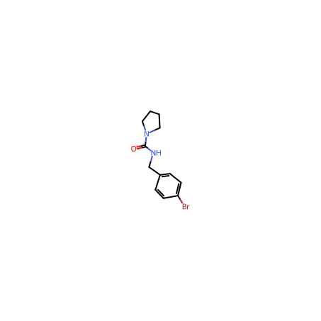 O=C(NCc1ccc(Br)cc1)N1CCCC1